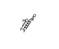 O=C=NCC(O)(F)C(F)(F)C(F)(F)C(F)(F)C(F)F